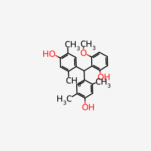 COc1cccc(O)c1C(c1cc(C)c(O)cc1C)c1cc(C)c(O)cc1C